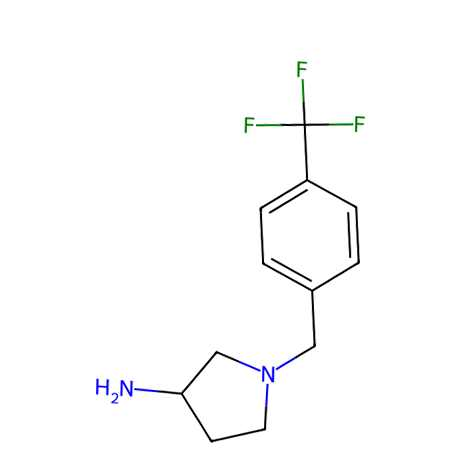 NC1CCN(Cc2ccc(C(F)(F)F)cc2)C1